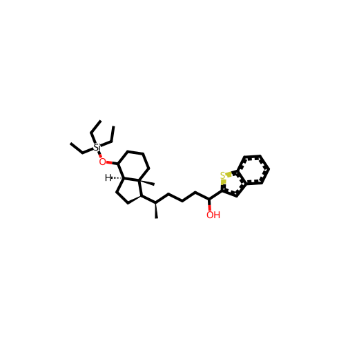 CC[Si](CC)(CC)OC1CCC[C@]2(C)[C@@H]([C@H](C)CCCC(O)c3cc4ccccc4s3)CC[C@@H]12